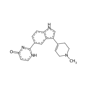 CN1CC=C(c2c[nH]c3ccc(-c4nc(=O)cc[nH]4)cc23)CC1